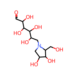 O=CC(O)C(O)C(O)C(O)CN1CC(O)C(O)C1CO